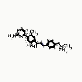 Cc1cc2c(/C=C/c3ccc(CN(C)C)cc3)n[nH]c2cc1-c1ccnc(N)n1